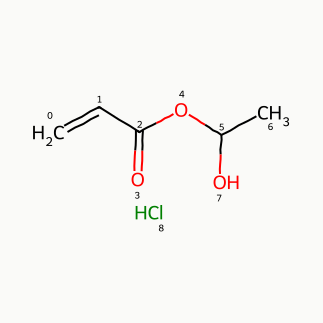 C=CC(=O)OC(C)O.Cl